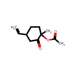 C=CC1CCC(C)(OC(C)=O)C(=O)C1